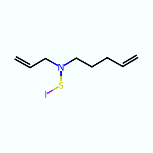 C=CCCCN(CC=C)SI